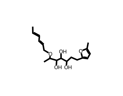 C/C=C/C=C/COC(C)C(O)C(O)C(O)CCc1ccc(C)o1